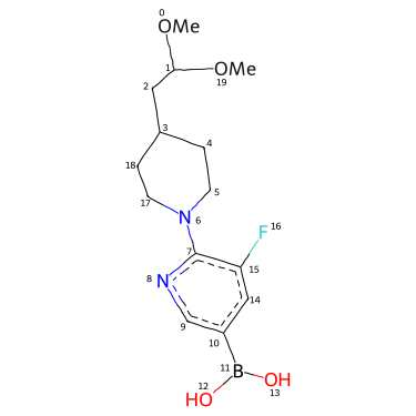 COC(CC1CCN(c2ncc(B(O)O)cc2F)CC1)OC